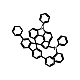 C1=CCCC(c2ccc3c(c2)C2(c4cc(-c5ccccc5)ccc4-3)c3ccc(N(c4ccccc4)c4ccccc4)c4ccc5c(c34)c3c2cccc3n5-c2ccccc2)=C1